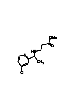 COC(=O)CCNC(C)c1cc(Cl)ccn1